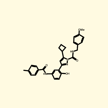 COc1ccc(CNC(=O)n2nc(-c3cc(NC(=O)c4ccc(C)cc4)ccc3O)cc2C2CCC2)cc1